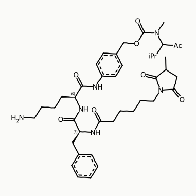 CC(=O)C(C(C)C)N(C)C(=O)OCc1ccc(NC(=O)[C@H](CCCCN)NC(=O)[C@H](Cc2ccccc2)NC(=O)CCCCCN2C(=O)CC(C)C2=O)cc1